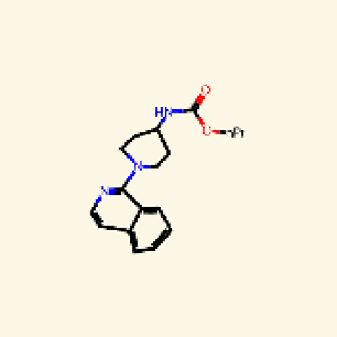 CCCOC(=O)NC1CCN(c2nccc3ccccc23)CC1